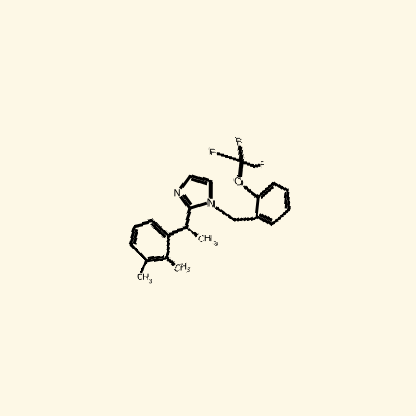 Cc1cccc([C@H](C)c2nccn2Cc2ccccc2OC(F)(F)F)c1C